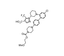 COCCOC(=O)N1CCN(c2ccc(-c3ccc(Cl)cc3N3CCCC(n4ncc(C(=O)O)c4C(F)(F)F)C3)cc2)CC1